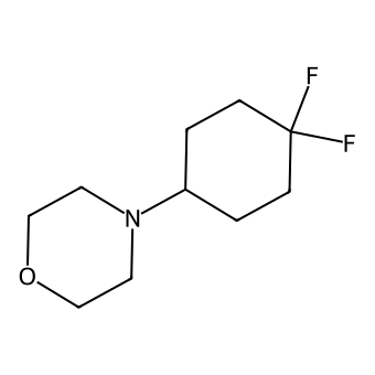 FC1(F)CCC(N2CCOCC2)CC1